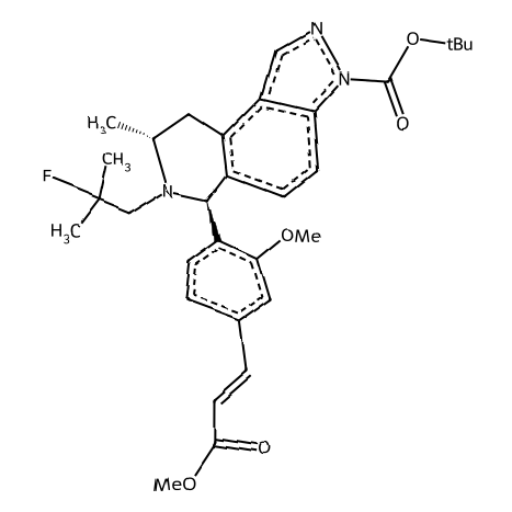 COC(=O)/C=C/c1ccc([C@@H]2c3ccc4c(cnn4C(=O)OC(C)(C)C)c3C[C@@H](C)N2CC(C)(C)F)c(OC)c1